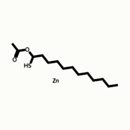 CCCCCCCCCCCC(S)OC(C)=O.[Zn]